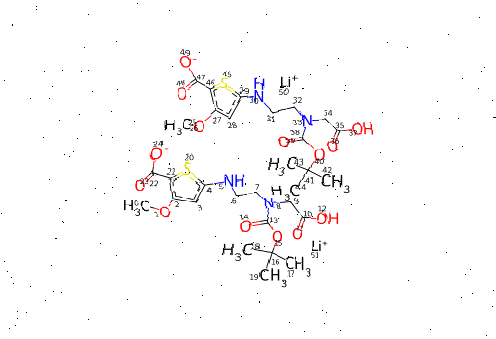 COc1cc(NCCN(CC(=O)O)C(=O)OC(C)(C)C)sc1C(=O)[O-].COc1cc(NCCN(CC(=O)O)C(=O)OC(C)(C)C)sc1C(=O)[O-].[Li+].[Li+]